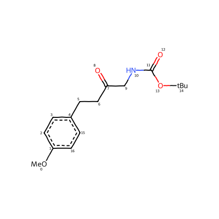 COc1ccc(CCC(=O)CNC(=O)OC(C)(C)C)cc1